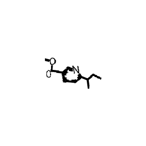 CCC(C)c1ccc(C(=O)OC)cn1